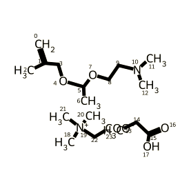 C=C(C)COC(C)OCCN(C)C.CCC(=O)O.C[N+](C)(C)CC(=O)[O-]